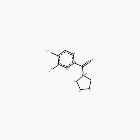 O=C(c1ccc(F)c(F)c1)N1CCCC1